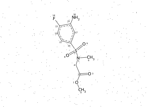 COC(=O)CN(C)S(=O)(=O)c1ccc(F)c(N)c1